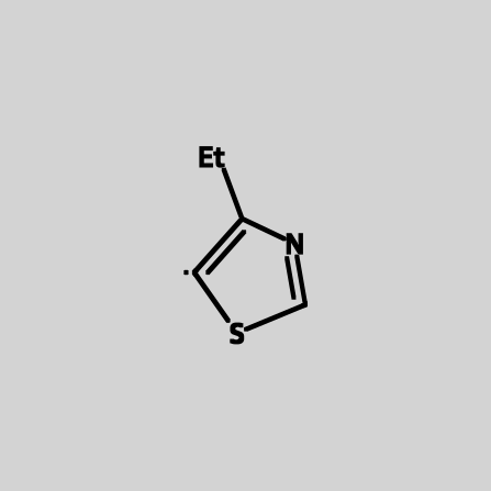 CCc1[c]scn1